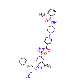 Bc1ccccc1C(=O)NC1CCN(c2ccc(C(=O)NS(=O)(=O)c3ccc(N[C@H](CCN(C)C)CSc4ccccc4)c([N+](=O)[O-])c3)cc2)CC1